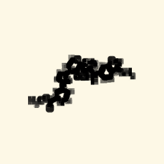 COC(=O)c1cc(-n2ccc(N3CCO[C@](C)([C@@H](O)C(=O)Nc4ccc5c(N)noc5c4)C3=O)n2)ccn1